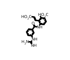 N=C(N)Nc1cccc(C(=O)Nc2cccc(C(=O)O)c2C=CC(=O)O)c1